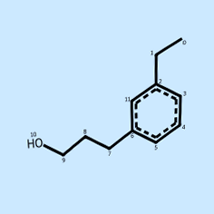 CCc1cccc(CCCO)c1